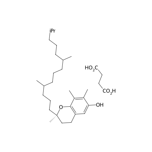 Cc1c(O)cc2c(c1C)O[C@](C)(CCCC(C)CCCC(C)CCCC(C)C)CC2.O=C(O)CCC(=O)O